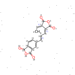 C/C=C1/C(=O)OC(=O)/C1=C/C=C/c1ccc2c(c1)C(=O)OC2=O